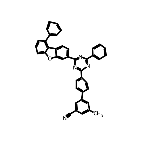 Cc1cc(C#N)cc(-c2ccc(-c3nc(-c4ccccc4)nc(-c4ccc5c(c4)oc4cccc(-c6ccccc6)c45)n3)cc2)c1